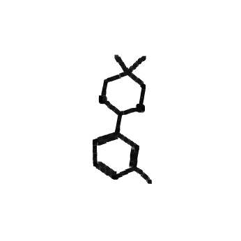 Cc1cccc(C2OCC(C)(C)CO2)c1